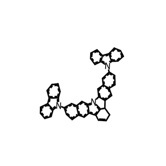 C1=Cc2c3n(c4cc5cc(-n6c7ccccc7c7ccccc76)ccc5cc24)-c2cc4cc(-n5c6ccccc6c6ccccc65)ccc4cc2C3C1